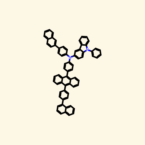 c1ccc(-n2c3ccccc3c3cc(N(c4ccc(-c5ccc6ccccc6c5)cc4)c4ccc(-c5c6ccccc6c(-c6ccc(-c7cccc8ccccc78)cc6)c6ccccc56)cc4)ccc32)cc1